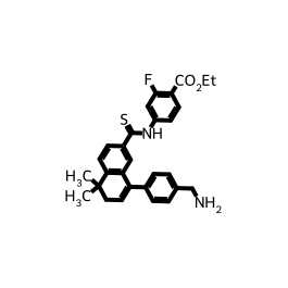 CCOC(=O)c1ccc(NC(=S)c2ccc3c(c2)C(c2ccc(CN)cc2)=CCC3(C)C)cc1F